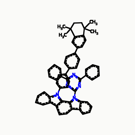 CC1(C)CCC(C)(C)c2cc(-c3ccc(-c4ccc(-n5c6ccccc6c6ccc7c8ccccc8n(-c8nc(-c9ccccc9)nc(-c9ccccc9)n8)c7c65)cc4)cc3)ccc21